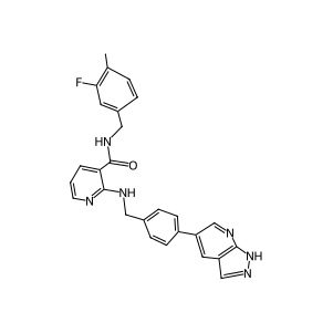 Cc1ccc(CNC(=O)c2cccnc2NCc2ccc(-c3cnc4[nH]ncc4c3)cc2)cc1F